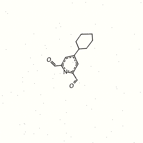 O=Cc1cc(C2CCCCC2)cc(C=O)n1